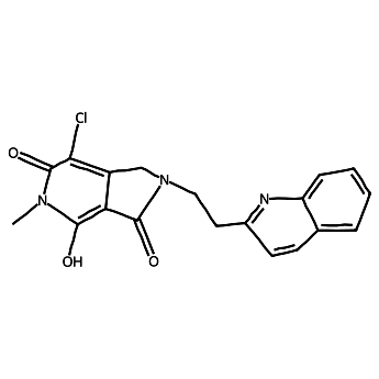 Cn1c(O)c2c(c(Cl)c1=O)CN(CCc1ccc3ccccc3n1)C2=O